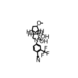 CO[C@@H]1C[C@@H]2C[C@H]1[C@H]1[C@@H]2CN(c2ccc(C#N)c(C(F)(F)F)c2)S1(O)O